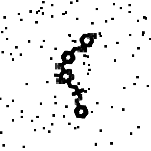 C[C@H](NC(=O)CCC(C)(C)SSc1ccccc1)C(=O)Nc1ccc(CNC2CCNCC2)cc1